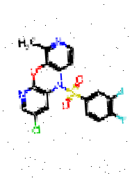 Cc1ncccc1Oc1ncc(Cl)cc1NS(=O)(=O)c1ccc(F)c(F)c1